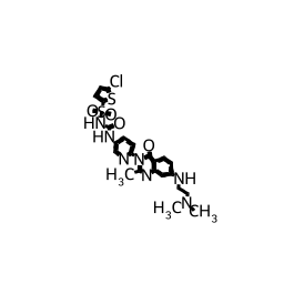 Cc1nc2cc(NCCN(C)C)ccc2c(=O)n1-c1ccc(NC(=O)NS(=O)(=O)c2ccc(Cl)s2)cn1